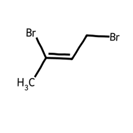 CC(Br)=CCBr